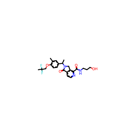 Cc1cc(C(C)N2Cc3c(ccnc3C(=O)NCCCO)C2=O)ccc1OCC(C)(F)F